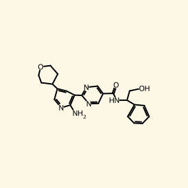 Nc1ncc(C2CCOCC2)cc1-c1ncc(C(=O)NC(CO)c2ccccc2)cn1